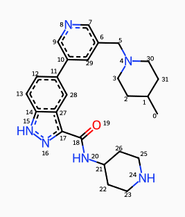 CC1CCN(Cc2cncc(-c3ccc4[nH]nc(C(=O)NC5CCNCC5)c4c3)c2)CC1